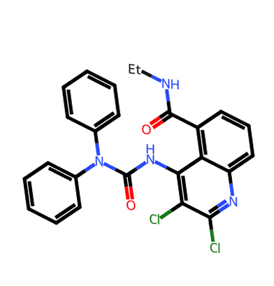 CCNC(=O)c1cccc2nc(Cl)c(Cl)c(NC(=O)N(c3ccccc3)c3ccccc3)c12